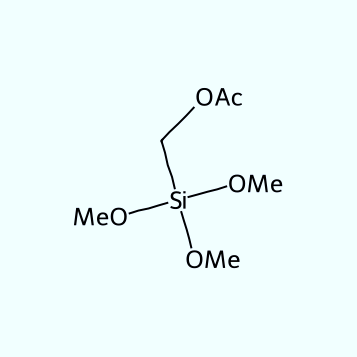 CO[Si](COC(C)=O)(OC)OC